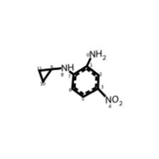 Nc1cc([N+](=O)[O-])ccc1NC1CC1